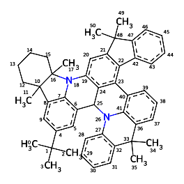 CC(C)(C)c1cc2c3c(c1)C1(C)CCCCC1(C)N3c1cc3c(c4c1C2N1c2ccccc2C(C)(C)c2cccc-4c21)-c1ccccc1C3(C)C